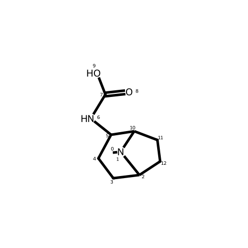 CN1C2CCC(NC(=O)O)C1CC2